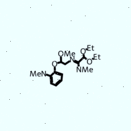 CCOC(OCC)/C(=N/CC(OC)Oc1ccccc1NC)NC